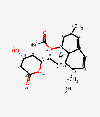 CC[C@H](C)C(=O)O[C@H]1C[C@@H](C)C=C2C=C[C@H](C)[C@H](CC[C@H]3C[C@@H](O)CC(=O)O3)[C@H]21.[KH]